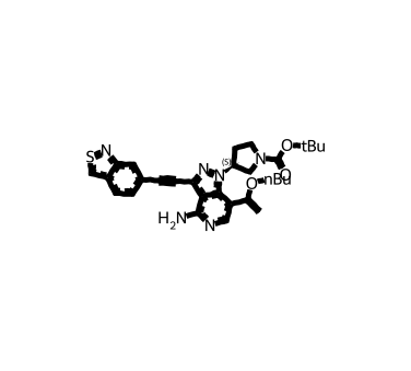 C=C(OCCCC)c1cnc(N)c2c(C#Cc3ccc4csnc4c3)nn([C@H]3CCN(C(=O)OC(C)(C)C)C3)c12